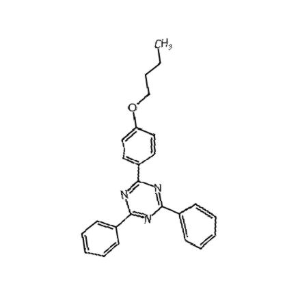 CCCCOc1ccc(-c2nc(-c3ccccc3)nc(-c3ccccc3)n2)cc1